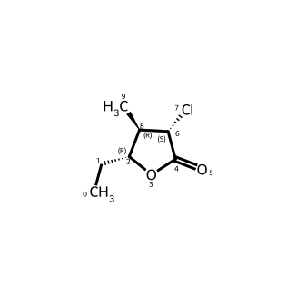 CC[C@H]1OC(=O)[C@@H](Cl)[C@@H]1C